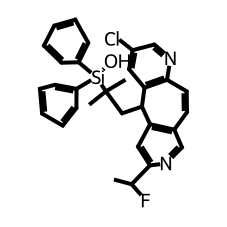 CC(F)c1cc2c(cn1)C=Cc1ncc(Cl)cc1C2CC(C)(C)[Si](O)(c1ccccc1)c1ccccc1